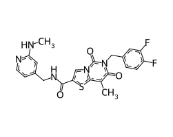 CNc1cc(CNC(=O)c2cn3c(=O)n(Cc4ccc(F)c(F)c4)c(=O)c(C)c3s2)ccn1